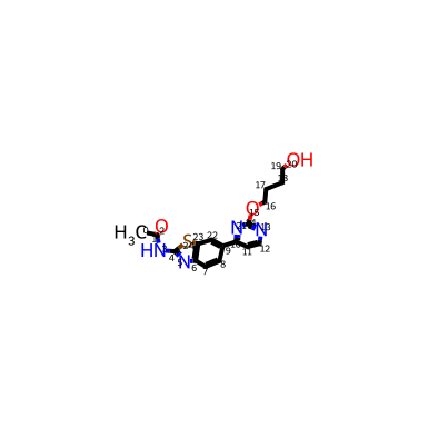 CC(=O)Nc1nc2ccc(-c3ccnc(OCCCCO)n3)cc2s1